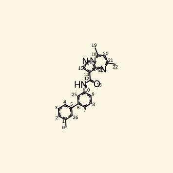 Cc1cccc(-c2cccc(NC(=O)c3cnn4c(C)cc(C)nc34)c2)c1